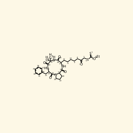 CCOC(=S)SCC(=O)CCCCCC1NC(=O)C2CCCN2C(=O)C(Cc2ccccc2)NC(=O)C(C)(C)NC1=O